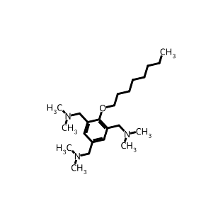 CCCCCCCCOc1c(CN(C)C)cc(CN(C)C)cc1CN(C)C